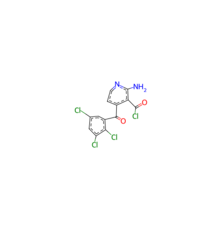 Nc1nccc(C(=O)c2cc(Cl)cc(Cl)c2Cl)c1C(=O)Cl